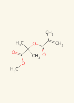 C=C(C)C(=O)OC(C)(C)C(=O)OC